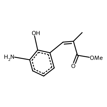 COC(=O)C(C)=Cc1cccc(N)c1O